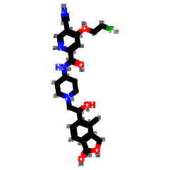 Cc1c(C(O)CN2CCC(NC(=O)c3cc(OCCF)c(C#N)cn3)CC2)ccc2c1COC2=O